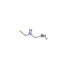 BCNCC